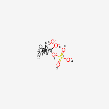 O=S(=O)([O-])[O-].O=[N+]([O-])[O-].O=[N+]([O-])[O-].[Zn+2].[Zn+2]